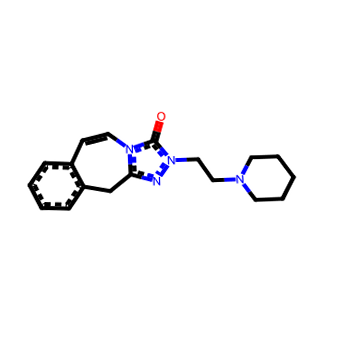 O=c1n(CCN2CCCCC2)nc2n1C=Cc1ccccc1C2